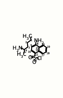 CCCCC(C)N.Nc1ccc(S(=O)(=O)Cl)c2ccccc12